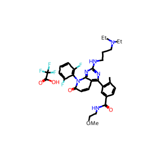 CCN(CC)CCCNc1nc(-c2cc(C(=O)NCCOC)ccc2C)c2ccc(=O)n(-c3c(F)cccc3F)c2n1.O=C(O)C(F)(F)F